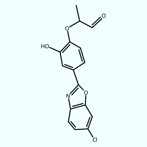 CC(C=O)Oc1ccc(-c2nc3ccc(Cl)cc3o2)cc1O